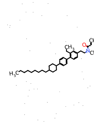 C=CC(=O)N(C)CCc1ccc(-c2ccc(C3CCC(CCCCCCCCC)CC3)cc2)c(CC)c1